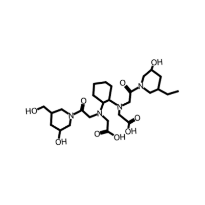 CCC1CC(O)CN(C(=O)CN(CC(=O)O)C2CCCCC2N(CC(=O)O)CC(=O)N2CC(O)CC(CO)C2)C1